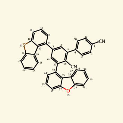 N#Cc1ccc(-c2cc(-c3cccc4sc5ccccc5c34)cc(-c3cccc4oc5ccccc5c34)c2C#N)cc1